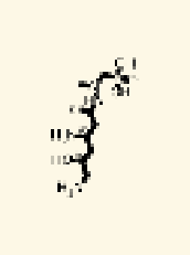 CN(CP(=O)(O)O)NC(=O)C[C@H](N)C[C@@H](O)CN